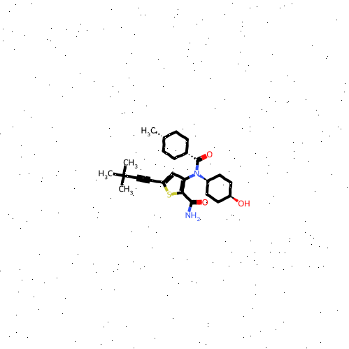 CC(C)(C)C#Cc1cc(N(C(=O)[C@H]2CC[C@@H](C)CC2)[C@H]2CC[C@@H](O)CC2)c(C(N)=O)s1